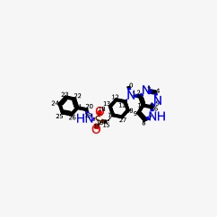 CN(c1ncnc2[nH]ccc12)[C@H]1CC[C@@H](CS(=O)(=O)NCc2ccccc2)CC1